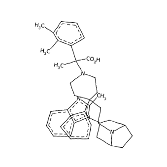 Cc1cccc(C(C)(C(=O)O)N2CCC(CCN3C4CCC3CC(n3c(C)nc5ccccc53)C4)(c3ccccc3)CC2)c1C